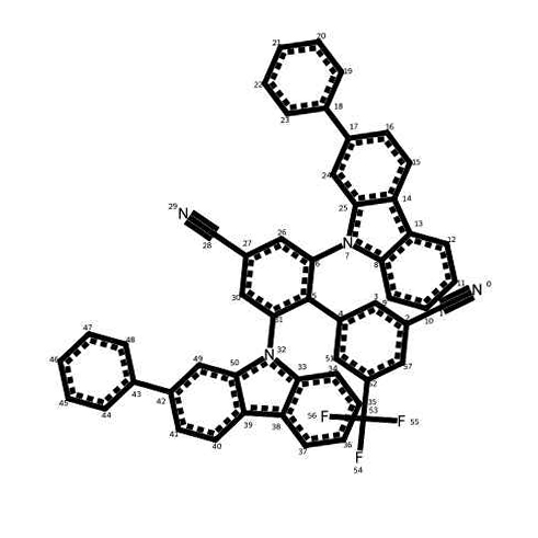 N#Cc1cc(-c2c(-n3c4ccccc4c4ccc(-c5ccccc5)cc43)cc(C#N)cc2-n2c3ccccc3c3ccc(-c4ccccc4)cc32)cc(C(F)(F)F)c1